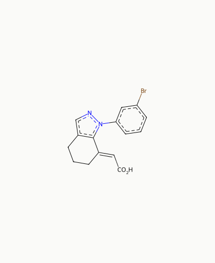 O=C(O)C=C1CCCc2cnn(-c3cccc(Br)c3)c21